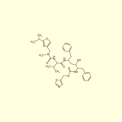 CC(C)c1nc(CN(C)C(=O)NC(C(=O)NC(Cc2ccccc2)CC(O)C(Cc2ccccc2)NC(=O)OCc2cncs2)C(C)C)cs1